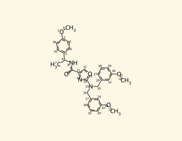 COc1ccc(C(C)NC(=O)c2coc(N(Cc3cccc(OC)c3)Cc3cccc(OC)c3)n2)cc1